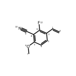 C=Cc1ccc(OC)c(C#N)c1F